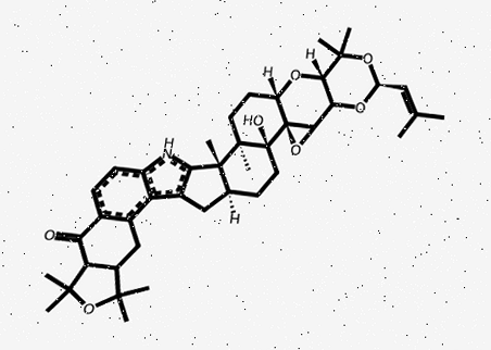 CC(C)=C[C@H]1OC2C3O[C@@]34[C@H](CC[C@@]3(C)[C@@]4(O)CC[C@H]4Cc5c([nH]c6ccc7c(c56)CC5C(C7=O)C(C)(C)OC5(C)C)[C@@]43C)O[C@@H]2C(C)(C)O1